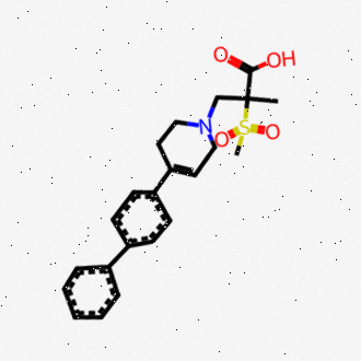 CC(CN1CC=C(c2ccc(-c3ccccc3)cc2)CC1)(C(=O)O)S(C)(=O)=O